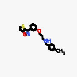 Cc1ccc(CNCCCOc2cccc(-c3noc4ccsc34)c2)cc1